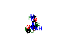 Cc1cnc(F)nc1OC1CCN(C(CNC(=O)c2c(F)cccc2Cl)C2=C(C(F)F)NCS2)CC1